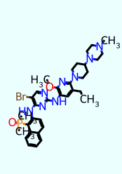 CCc1cc(Nc2ncc(Br)c(Nc3ccc4ccccc4c3P(C)(C)=O)n2)c(OC)nc1N1CCC(N2CCN(C)CC2)CC1